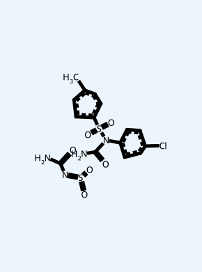 Cc1ccc(S(=O)(=O)N(C(N)=O)c2ccc(Cl)cc2)cc1.NC(=O)N=S(=O)=O